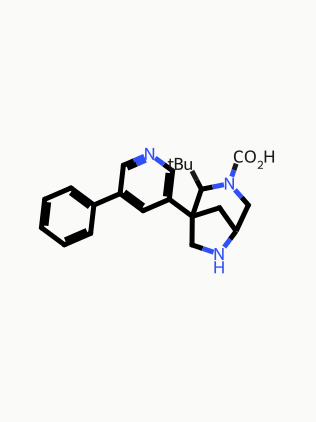 CC(C)(C)C1N(C(=O)O)CC2CC1(c1cncc(-c3ccccc3)c1)CN2